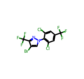 FC(F)(F)c1cc(Cl)c(-n2cc(Br)c(C(F)(F)F)n2)c(Cl)c1